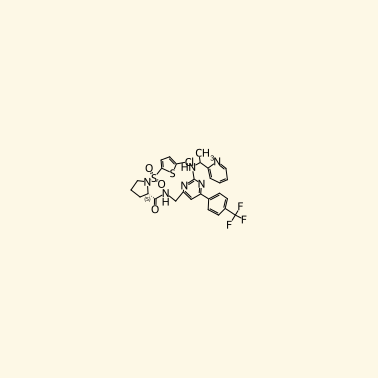 CC(Nc1nc(CNC(=O)[C@@H]2CCCN2S(=O)(=O)c2ccc(Cl)s2)cc(-c2ccc(C(F)(F)F)cc2)n1)c1ccccn1